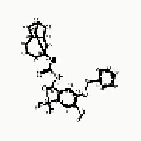 COc1cc(C(F)(F)F)c(C(=O)NC(=O)NC23CCCC4CC(CC4C2)C3)cc1OCc1ccccc1